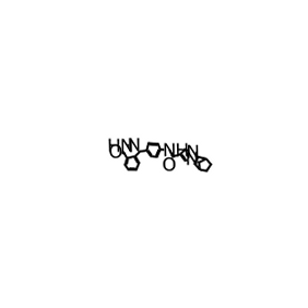 O=C(Nc1ccc(-c2n[nH]c(=O)c3ccccc23)cc1)c1cnn(C2C3CCC2CC3)c1